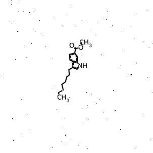 CCCCCCCCc1c[nH]c2cc(C(=O)OC)ccc12